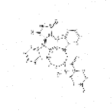 CN1CCN(C(=O)C2(O)Cn3c4ccccc4c4c5c(c6c7ccccc7n(c6c43)CC2O)C(=O)NC5=O)CC1